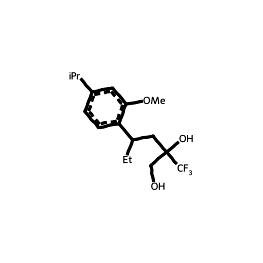 CCC(CC(O)(CO)C(F)(F)F)c1ccc(C(C)C)cc1OC